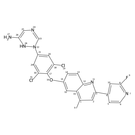 Cc1cc(-c2ccnc(F)c2)nc2ccc(Oc3c(Cl)cc(N4C=NC=C(N)N4)cc3Cl)cc12